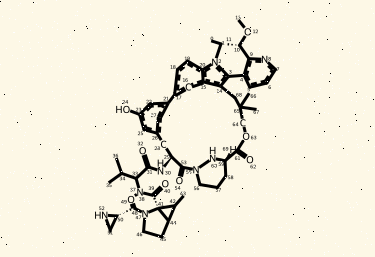 CCn1c(-c2cccnc2[C@H](C)OC)c2c3cc(ccc31)-c1cc(O)cc(c1)C[C@H](NC(=O)C(C(C)C)N(C)C(=O)[C@]13C(C)C1CCN3C(=O)[C@@H]1CN1)C(=O)N1CCC[C@H](N1)C(=O)OCC(C)(C)C2